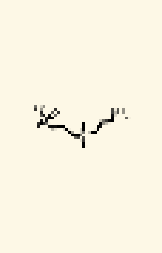 C[N+](C)(CCCN)CCCS(=O)(=O)[O-]